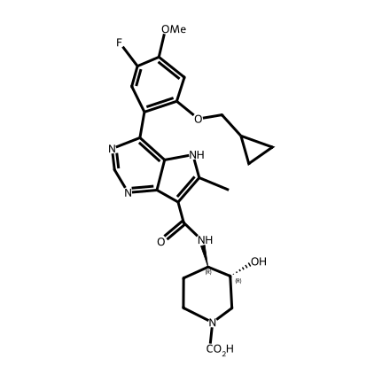 COc1cc(OCC2CC2)c(-c2ncnc3c(C(=O)N[C@@H]4CCN(C(=O)O)C[C@H]4O)c(C)[nH]c23)cc1F